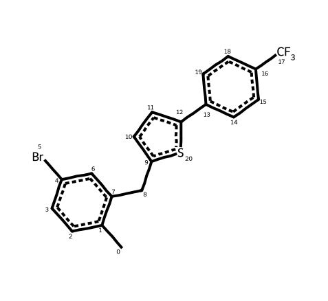 Cc1ccc(Br)cc1Cc1ccc(-c2ccc(C(F)(F)F)cc2)s1